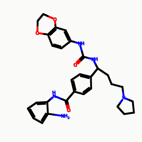 Nc1ccccc1NC(=O)c1ccc(C(CCCN2CCCC2)NC(=O)Nc2ccc3c(c2)OCCO3)cc1